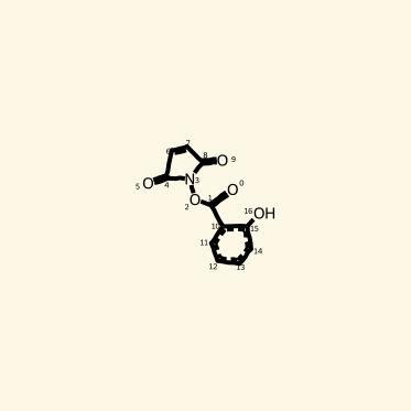 O=C(ON1C(=O)C=CC1=O)c1ccccc1O